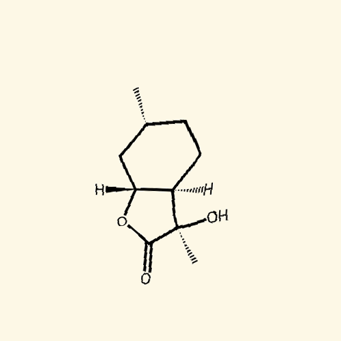 C[C@@H]1CC[C@@H]2[C@@H](C1)OC(=O)[C@]2(C)O